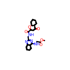 COC(=O)CNc1nc(CNC(=O)c2cc(=O)c3ccccc3o2)nc2ccccc12